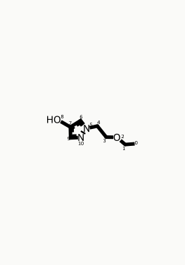 CCOCCn1cc(O)cn1